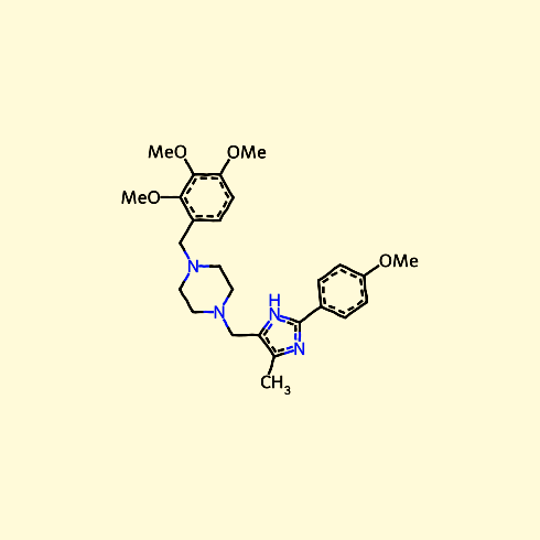 COc1ccc(-c2nc(C)c(CN3CCN(Cc4ccc(OC)c(OC)c4OC)CC3)[nH]2)cc1